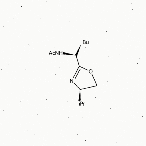 CC[C@H](C)[C@H](NC(C)=O)C1=N[C@H](C(C)C)CO1